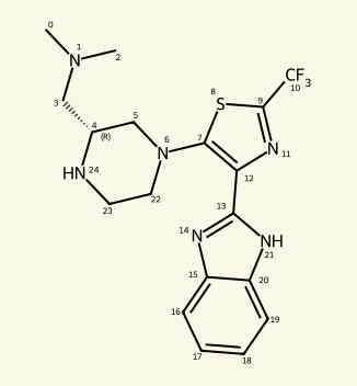 CN(C)C[C@@H]1CN(c2sc(C(F)(F)F)nc2-c2nc3ccccc3[nH]2)CCN1